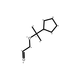 CC(C)(OCC=O)C1CCCC1